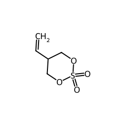 C=CC1COS(=O)(=O)OC1